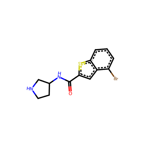 O=C(NC1CCNC1)c1cc2c(Br)cccc2s1